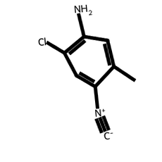 [C-]#[N+]c1cc(Cl)c(N)cc1C